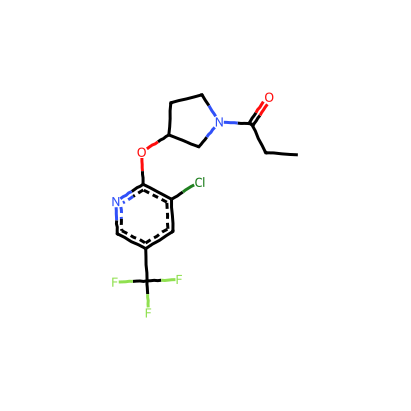 CCC(=O)N1CCC(Oc2ncc(C(F)(F)F)cc2Cl)C1